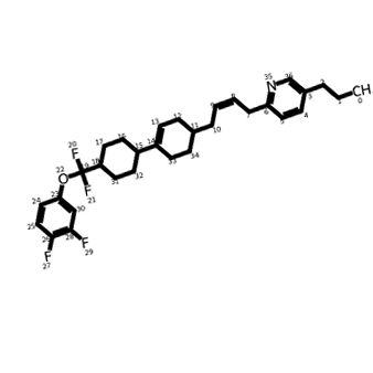 CCCc1ccc(C/C=C\CC2CC=C(C3CCC(C(F)(F)Oc4ccc(F)c(F)c4)CC3)CC2)nc1